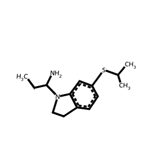 C[CH]C(N)N1CCc2ccc(SC(C)C)cc21